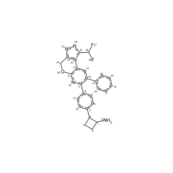 NC1CCC1c1ccc(-c2nc3c(cc2-c2ccccc2)-n2c(nnc2C(F)F)CO3)cc1